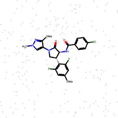 COc1cc(F)c([C@@H]2CN(c3cn(C)nc3OC)C(=O)[C@H]2NC(=O)c2ccc(Cl)cc2)c(F)c1